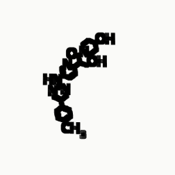 Cc1ccc(-c2cnc(Nc3ccc(C(CO)C(=O)N4CCC(O)CC4)nc3)nc2)cc1